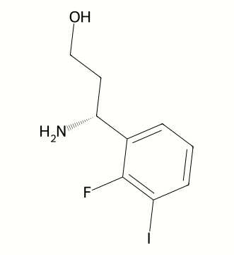 N[C@H](CCO)c1cccc(I)c1F